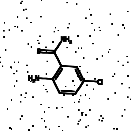 NC(=S)c1cc(Cl)ccc1N